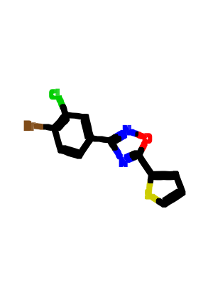 Clc1cc(-c2noc(-c3cccs3)n2)ccc1Br